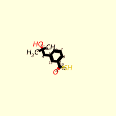 CC(C)(O)Cc1cccc(C(=O)S)c1